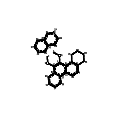 COc1c(OC)c2c3c(ccc2c2ccccc12)CCCC3.c1ccc2cnccc2c1